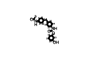 O=C(I)Nc1ccc(Cc2ccc(NC(=O)Oc3cccc(O)c3)cc2)cc1